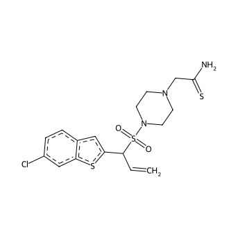 C=CC(c1cc2ccc(Cl)cc2s1)S(=O)(=O)N1CCN(CC(N)=S)CC1